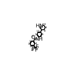 O=C(Nc1ccc(C2CCCNC2)cc1)c1cccc(C(F)(F)F)c1